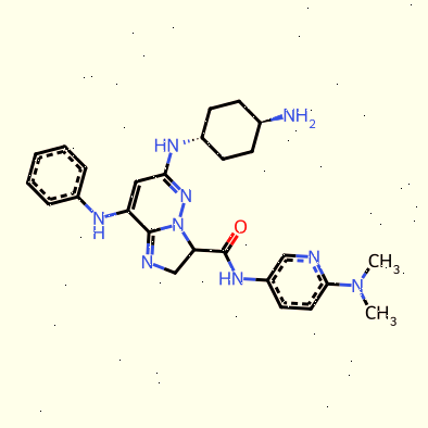 CN(C)c1ccc(NC(=O)C2CN=C3C(Nc4ccccc4)=CC(N[C@H]4CC[C@H](N)CC4)=NN32)cn1